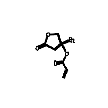 C=CC(=O)OC1(CC)COC(=O)C1